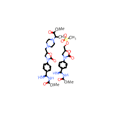 COC(=O)NC(=N)c1ccc(N2CC(CN3CCN(C(C)C(=O)OC)CC3)OC2=O)cc1.COC(=O)NC(=N)c1ccc(N2CC(COS(C)(=O)=O)OC2=O)cc1